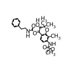 Cc1c(NS(C)(=O)=O)ccc2c1OC(C)(C)[C@H](O)[C@H]2OC(=O)NCCc1ccccc1